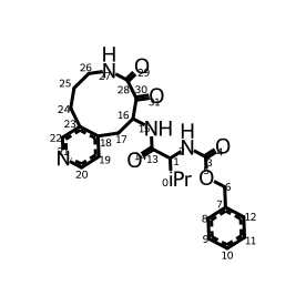 CC(C)C(NC(=O)OCc1ccccc1)C(=O)NC1Cc2ccncc2CCCNC(=O)C1=O